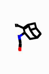 CCC1=C2CC3CC(CC1N=C=O)CC23